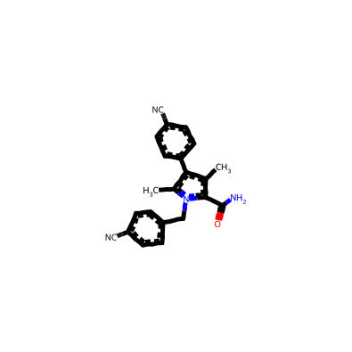 Cc1c(-c2ccc(C#N)cc2)c(C)n(Cc2ccc(C#N)cc2)c1C(N)=O